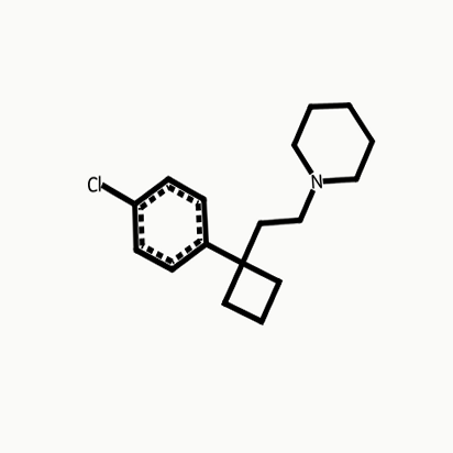 Clc1ccc(C2(CCN3CCCCC3)CCC2)cc1